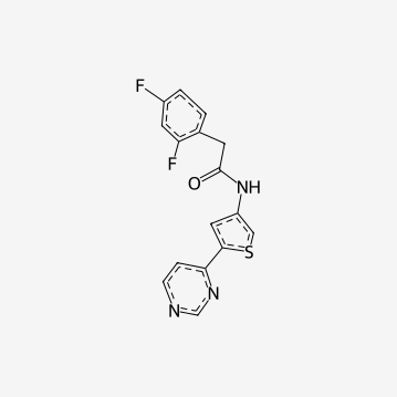 O=C(Cc1ccc(F)cc1F)Nc1csc(-c2ccncn2)c1